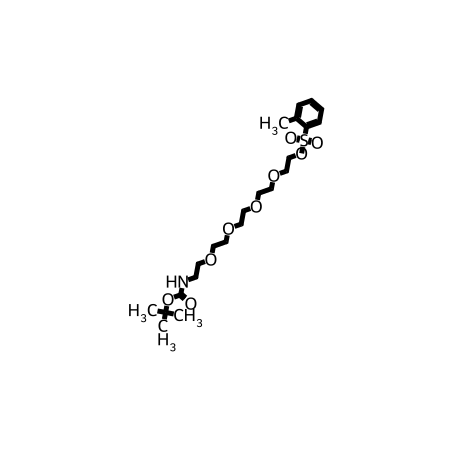 Cc1ccccc1S(=O)(=O)OCCOCCOCCOCCOCCNC(=O)OC(C)(C)C